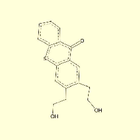 O=c1c2ccccc2sc2cc(CCO)c(CCO)cc12